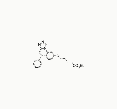 CCOC(=O)CCCCSc1ccc2c(-c3ccccc3)cc3nncn3c2c1